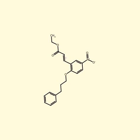 CCOC(=O)/C=C/c1cc([N+](=O)[O-])ccc1OCCCc1ccccc1